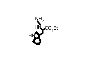 CCOC(=O)C(Cc1c[nH]c2ccccc12)NCCN